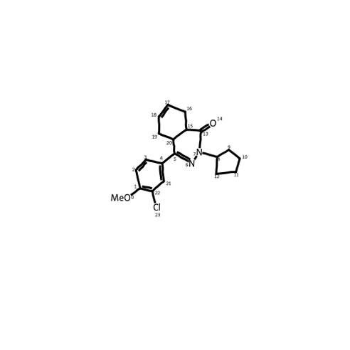 COc1ccc(C2=NN(C3CCCC3)C(=O)C3CC=CCC23)cc1Cl